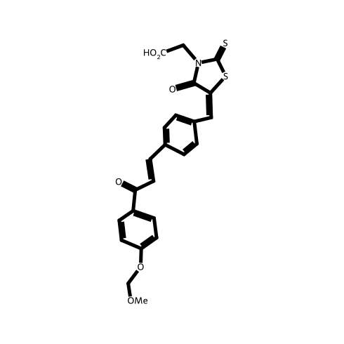 COCOc1ccc(C(=O)/C=C/c2ccc(/C=C3/SC(=S)N(CC(=O)O)C3=O)cc2)cc1